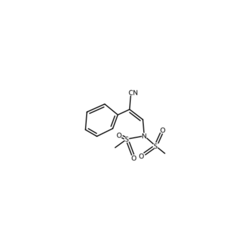 CS(=O)(=O)N(/C=C(/C#N)c1ccccc1)S(C)(=O)=O